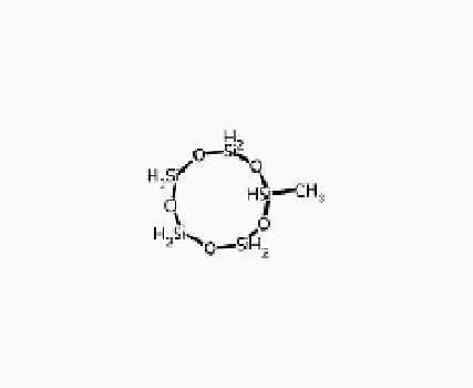 C[SiH]1O[SiH2]O[SiH2]O[SiH2]O[SiH2]O1